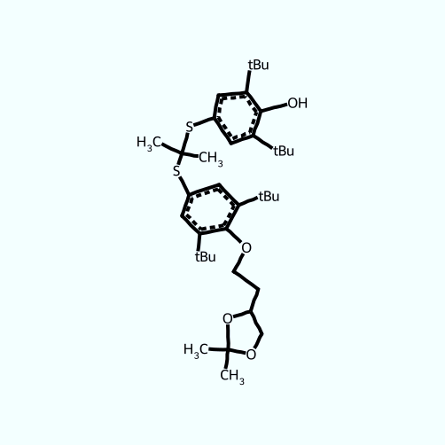 CC1(C)OCC(CCOc2c(C(C)(C)C)cc(SC(C)(C)Sc3cc(C(C)(C)C)c(O)c(C(C)(C)C)c3)cc2C(C)(C)C)O1